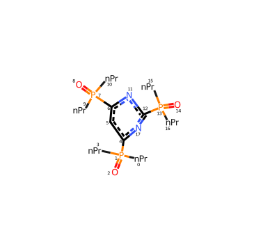 CCCP(=O)(CCC)c1cc(P(=O)(CCC)CCC)nc(P(=O)(CCC)CCC)n1